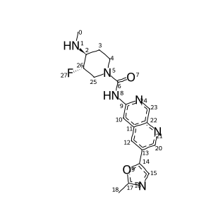 CN[C@H]1CCN(C(=O)Nc2cc3cc(-c4cnc(C)o4)cnc3cn2)C[C@@H]1F